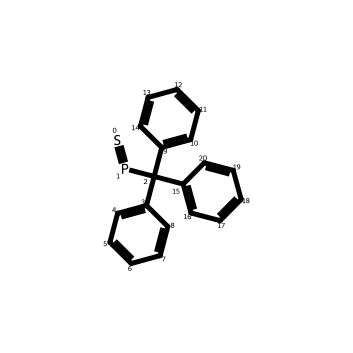 S=PC(c1ccccc1)(c1ccccc1)c1ccccc1